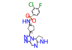 O=S(=O)(N[C@H]1CC[C@@H](c2nnc3cnc4c(n23)CCN4)C1)c1ccc(F)c(Cl)c1